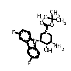 CC(C)(C)OC(=O)N1C[C@H](N)[C@H](O)[C@@H](n2c3ccc(F)cc3c3cc(F)ccc32)C1